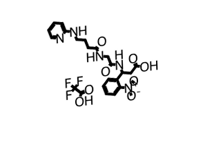 O=C(O)C(F)(F)F.O=C(O)CC(NC(=O)CNC(=O)CCCNc1ccccn1)c1ccccc1[N+](=O)[O-]